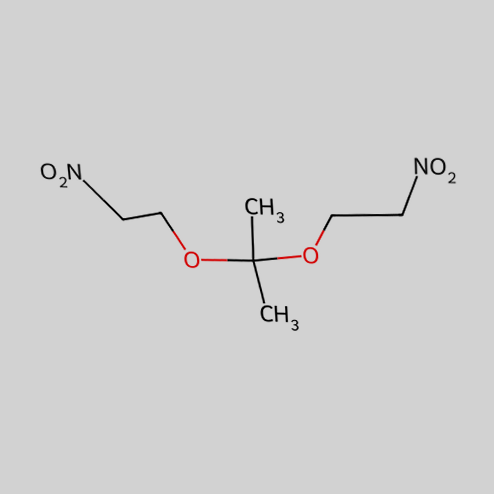 CC(C)(OCC[N+](=O)[O-])OCC[N+](=O)[O-]